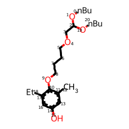 CCCCOC(COCCCCOc1c(C)cc(O)cc1CC)OCCCC